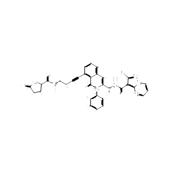 C[C@H](NC(=O)c1c(N)nn2cccnc12)c1cc2cccc(C#CCCNC(=O)C3CCC(=O)O3)c2c(=O)n1-c1ccccc1